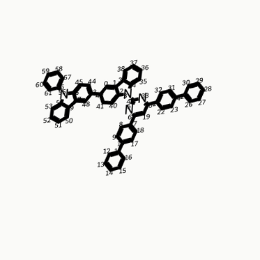 C1=c2c(n(-c3nc(-c4ccc(-c5ccccc5)cc4)cc(-c4ccc(-c5ccccc5)cc4)n3)c3ccccc23)=CCC1c1ccc2c(c1)c1ccccc1n2-c1ccccc1